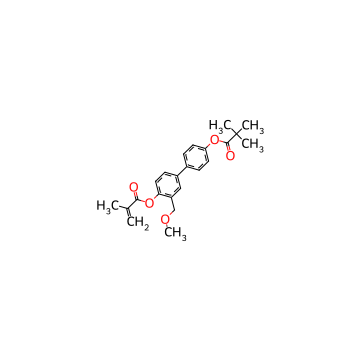 C=C(C)C(=O)Oc1ccc(-c2ccc(OC(=O)C(C)(C)C)cc2)cc1COC